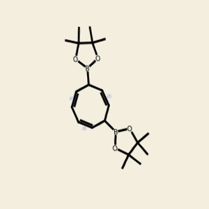 CC1(C)OB(C2/C=C\C=C/C(B3OC(C)(C)C(C)(C)O3)/C=C\2)OC1(C)C